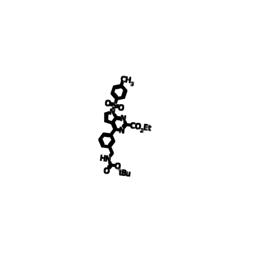 CCOC(=O)c1nc(-c2cccc(CNC(=O)OC(C)(C)C)c2)c2ccn(S(=O)(=O)c3ccc(C)cc3)c2n1